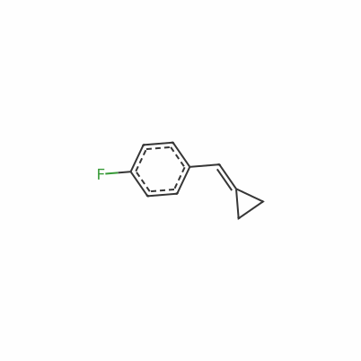 Fc1ccc(C=C2CC2)cc1